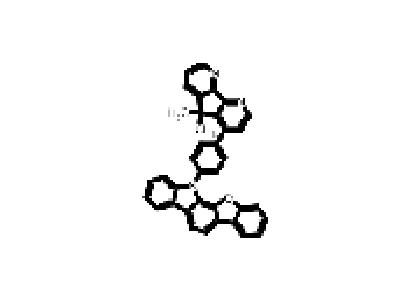 CC1(C)c2cccnc2-c2nccc(-c3ccc(-n4c5ccccc5c5ccc6c7ccccc7oc6c54)cc3)c21